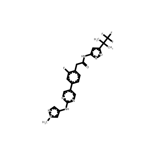 Cn1cc(Nc2ncc(-c3ccc(CC(=O)Nc4cc(C(C)(C)C(F)(F)F)on4)c(F)c3)cn2)cn1